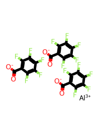 O=C([O-])c1c(F)c(F)c(F)c(F)c1F.O=C([O-])c1c(F)c(F)c(F)c(F)c1F.O=C([O-])c1c(F)c(F)c(F)c(F)c1F.[Al+3]